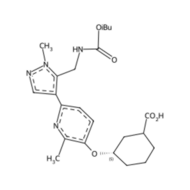 Cc1nc(-c2cnn(C)c2CNC(=O)OCC(C)C)ccc1O[C@H]1CCCC(C(=O)O)C1